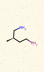 C[C@@H](CN)CCP